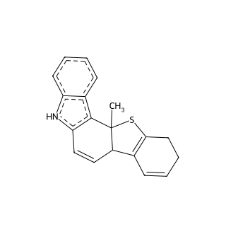 CC12SC3=C(C=CCC3)C1C=Cc1[nH]c3ccccc3c12